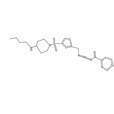 CCCCNC1CCN(S(=O)(=O)c2ccc(CN=[N+]=NC(=O)c3ccc(Cl)cc3)s2)CC1